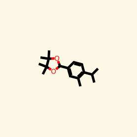 Cc1cc(C2OC(C)(C)C(C)(C)O2)ccc1C(C)C